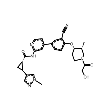 Cn1cc([C@H]2C[C@@H]2C(=O)Nc2cc(-c3ccc(O[C@H]4CCN(C(=O)CO)C[C@H]4F)c(C#N)c3)ccn2)cn1